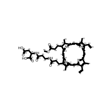 C=CC1=C(C)c2cc3[nH]c(cc4nc(cc5[nH]c(cc1n2)c(C)c5CCC(=O)NCCC(=O)NC(CC(=O)O)C(=O)O)C(CCC(=O)OC)C4C)c(C)c3C=C